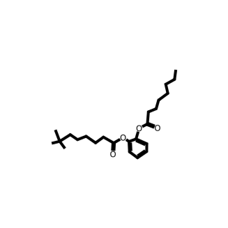 CCCCCCCC(=O)Oc1ccccc1OC(=O)CCCCCC(C)(C)C